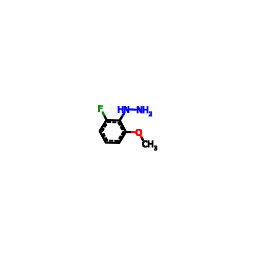 COc1cccc(F)c1NN